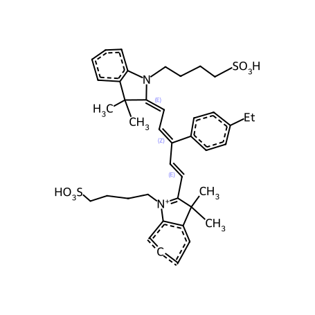 CCc1ccc(C(=C\C=C2\N(CCCCS(=O)(=O)O)c3ccccc3C2(C)C)/C=C/C2=[N+](CCCCS(=O)(=O)O)c3ccccc3C2(C)C)cc1